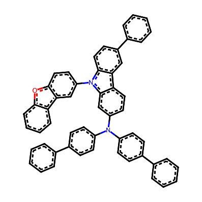 c1ccc(-c2ccc(N(c3ccc(-c4ccccc4)cc3)c3ccc4c5cc(-c6ccccc6)ccc5n(-c5ccc6oc7ccccc7c6c5)c4c3)cc2)cc1